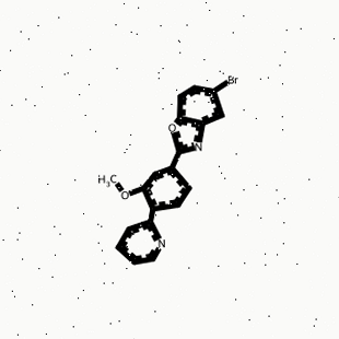 COc1cc(-c2nc3cc(Br)ccc3o2)ccc1-c1ccccn1